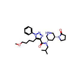 COCCCCc1c(C(=O)N(CC(C)C)[C@@H]2CNC[C@H](N3CCCC3=O)C2)nnn1-c1ccccc1